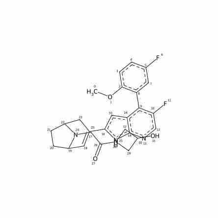 COc1ccc(F)cc1-c1c(F)cnc2[nH]c(C3=CC4CCC(C3)N4CC(=O)N3CC(O)C3)cc12